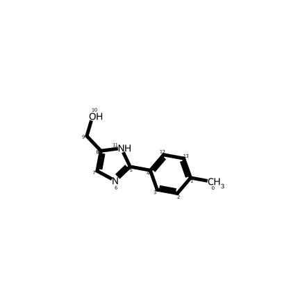 Cc1ccc(-c2ncc(CO)[nH]2)cc1